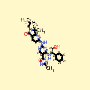 C=CCN1C(=O)c2ccc(Nc3ncc(-c4nc(C)no4)c(N[C@H](CO)c4ccccc4)n3)nc2C1(C)C